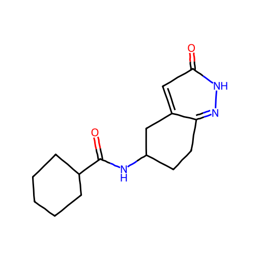 O=C(NC1CCc2n[nH]c(=O)cc2C1)C1CCCCC1